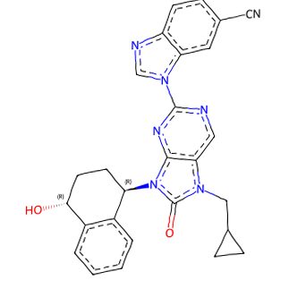 N#Cc1ccc2ncn(-c3ncc4c(n3)n([C@@H]3CC[C@@H](O)c5ccccc53)c(=O)n4CC3CC3)c2c1